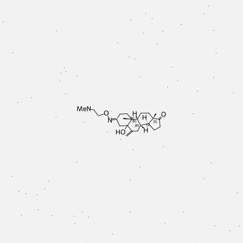 C=C1C[C@@H]2[C@@H](CC[C@]3(C)C(=O)CC[C@@H]23)[C@@]2(C)CCC(=NOCCNC)CC12O